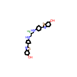 Oc1ccc2nc(-c3ccc(NCC([18F])CNc4ccc(-c5nc6ccc(O)cc6s5)cc4)cc3)sc2c1